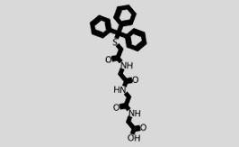 O=C(O)CNC(=O)CNC(=O)CNC(=O)CSC(C1=CCCC=C1)(c1ccccc1)c1ccccc1